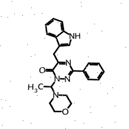 CC(N1CCOCC1)n1nc(-c2ccccc2)nc(Cc2c[nH]c3ccccc23)c1=O